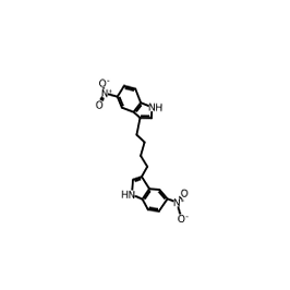 O=[N+]([O-])c1ccc2[nH]cc(CCCCc3c[nH]c4ccc([N+](=O)[O-])cc34)c2c1